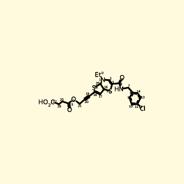 CCN1C=C(C(=O)NCc2ccc(Cl)cc2)SC2C=C(C#CCOC(=O)CCC(=O)O)SC21